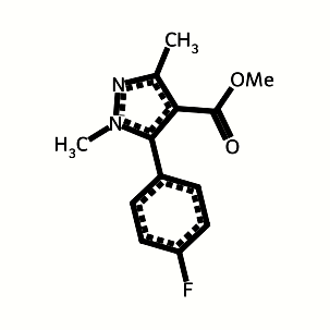 COC(=O)c1c(C)nn(C)c1-c1ccc(F)cc1